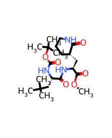 COC(=O)[C@H](C[C@@H]1CCCNC1=O)NC(=O)[C@H](CC(C)(C)C)NC(=O)OC(C)(C)C